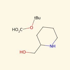 CC(C)(C)OC(=O)O.OCC1CCCCN1